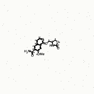 COc1cc2c(OCC3COC(=O)N3)nccc2cc1C(N)=O